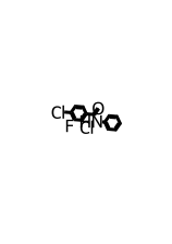 O=C(Nc1ccccc1)c1ccc(Cl)c(F)c1Cl